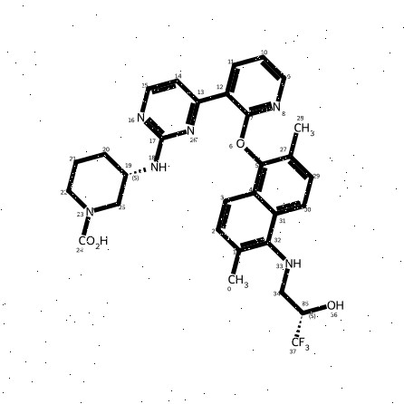 Cc1ccc2c(Oc3ncccc3-c3ccnc(N[C@H]4CCCN(C(=O)O)C4)n3)c(C)ccc2c1NC[C@H](O)C(F)(F)F